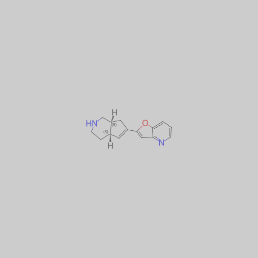 C1=C(c2cc3ncccc3o2)C[C@H]2CNCC[C@@H]12